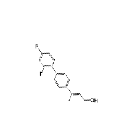 CC(=CCO)c1ccc(-c2ccc(F)cc2F)cc1